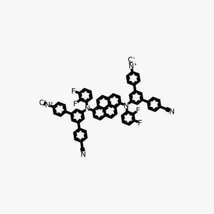 [C-]#[N+]c1ccc(-c2cc(-c3ccc(C#N)cc3)cc(N(c3cccc(F)c3F)c3ccc4ccc5c(N(c6cc(-c7ccc(C#N)cc7)cc(-c7ccc([N+]#[C-])cc7)c6)c6cccc(F)c6F)ccc6ccc3c4c65)c2)cc1